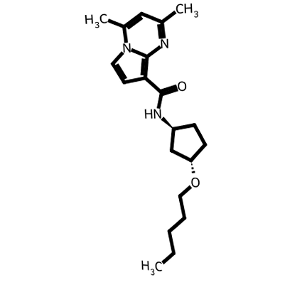 CCCCCO[C@H]1CC[C@H](NC(=O)c2ccn3c(C)cc(C)nc23)C1